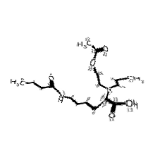 CCCC(=O)NCCCC[C@H](C(=O)O)N(CCC)CCOC(C)=O